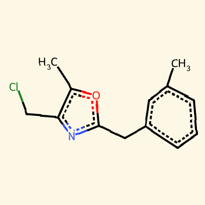 Cc1cccc(Cc2nc(CCl)c(C)o2)c1